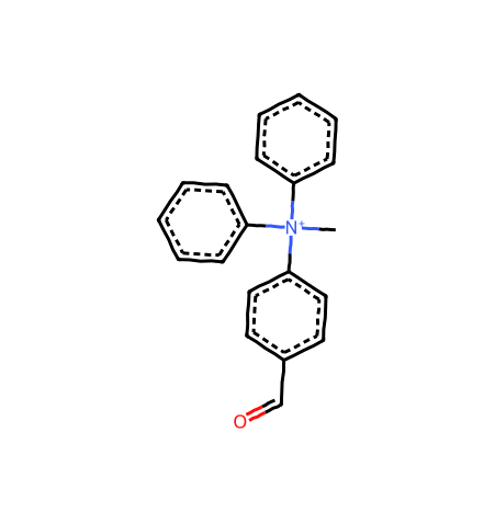 C[N+](c1ccccc1)(c1ccccc1)c1ccc(C=O)cc1